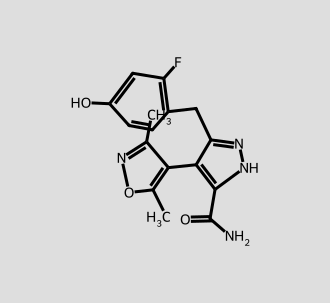 Cc1noc(C)c1-c1c(Cc2ccc(O)cc2F)n[nH]c1C(N)=O